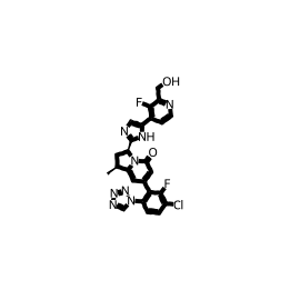 C[C@H]1C[C@@H](c2ncc(-c3ccnc(CO)c3F)[nH]2)n2c1cc(-c1c(-n3cnnn3)ccc(Cl)c1F)cc2=O